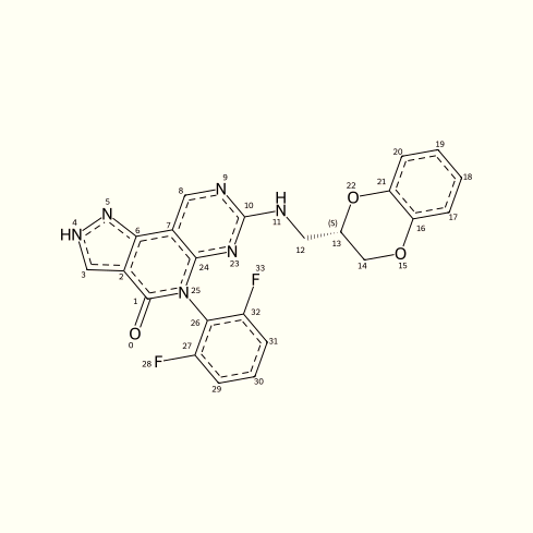 O=c1c2c[nH]nc2c2cnc(NC[C@H]3COc4ccccc4O3)nc2n1-c1c(F)cccc1F